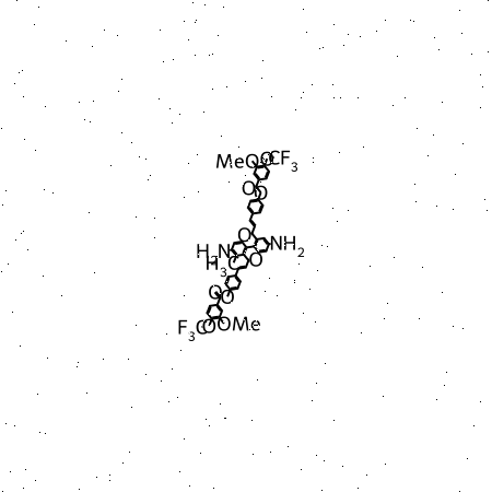 COc1cc(C(=O)Oc2ccc(/C=C/C(=O)c3cc(N)ccc3-c3ccc(N)c(C)c3C(=O)/C=C/c3ccc(OC(=O)c4ccc(OC(F)(F)F)c(OC)c4)cc3)cc2)ccc1OC(F)(F)F